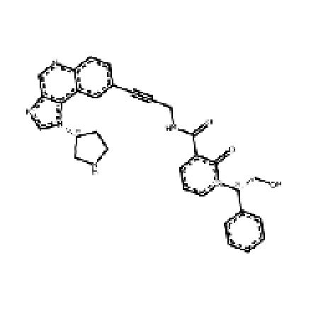 O=C(NCC#Cc1ccc2ncc3ncn([C@@H]4CCNC4)c3c2c1)c1cccn([C@H](CO)c2ccccc2)c1=O